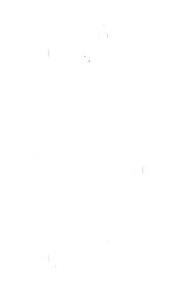 CCC(c1cccc(N(C(C)C)C(C)C)c1)c1cc(C=O)ccc1O